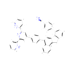 N#Cc1ccc(-c2cccc3c2-c2cc(-c4ccc(-c5cc(-c6ccccn6)nc(-c6ccccn6)c5)cc4)c4ccccc4c2C3)cc1